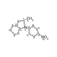 Cc1cc2ccccc2n1-c1ccc([N+](=O)[O-])cc1